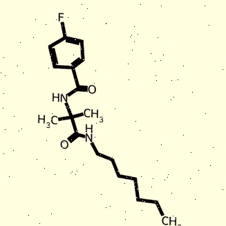 CCCCCCCNC(=O)C(C)(C)NC(=O)c1ccc(F)cc1